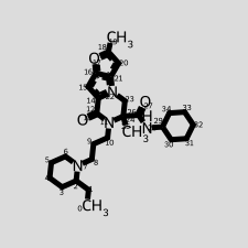 CCC1CCCCN1CCCN1C(=O)c2cc3oc(C)cc3n2CC1(C)C(=O)NC1CCCCC1